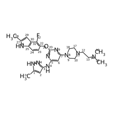 Cc1cc(Nc2cc(N3CCN(CCN(C)C)CC3)nc(Oc3ccc4[nH]c(C)cc4c3F)n2)n[nH]1